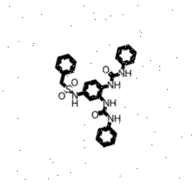 O=C(Nc1ccccc1)Nc1ccc(NS(=O)(=O)Cc2ccccc2)cc1NC(=O)Nc1ccccc1